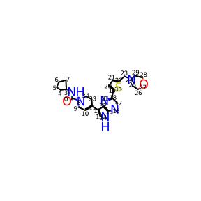 O=C(NC1CCCC1)N1CC=C(c2c[nH]c3ncc(-c4ccc(CN5CCOCC5)s4)nc23)CC1